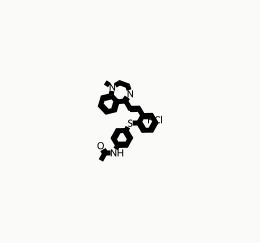 CC(=O)Nc1ccc(Sc2ccccc2/C=C/C2=NCCN(C)c3ccccc32)cc1.Cl